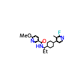 CC[C@@H](NC(=O)c1ccc(OC)nc1)C1CCC(c2ccnc(F)c2C)CC1